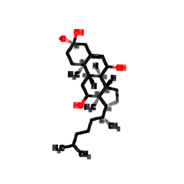 CC(C)CCC[C@@H](C)[C@H]1CC[C@H]2[C@@H]3C(O)C=C4C[C@]([O])(O)CC[C@]4(C)[C@H]3CC(O)[C@]12C